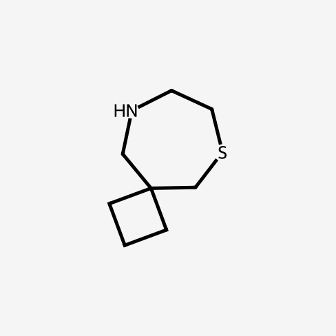 C1CC2(C1)CNCCSC2